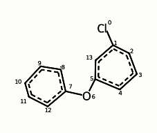 Clc1cccc(Oc2[c]cccc2)c1